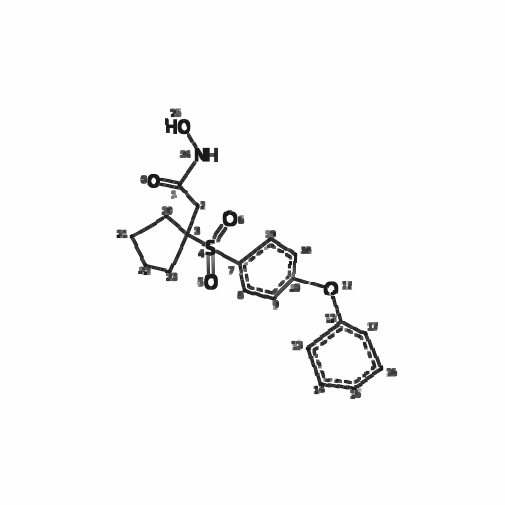 O=C(CC1(S(=O)(=O)c2ccc(Oc3ccccc3)cc2)CCCC1)NO